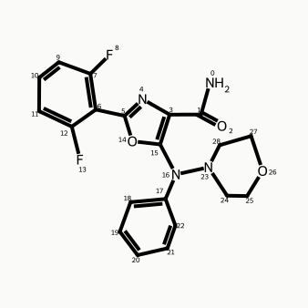 NC(=O)c1nc(-c2c(F)cccc2F)oc1N(c1ccccc1)N1CCOCC1